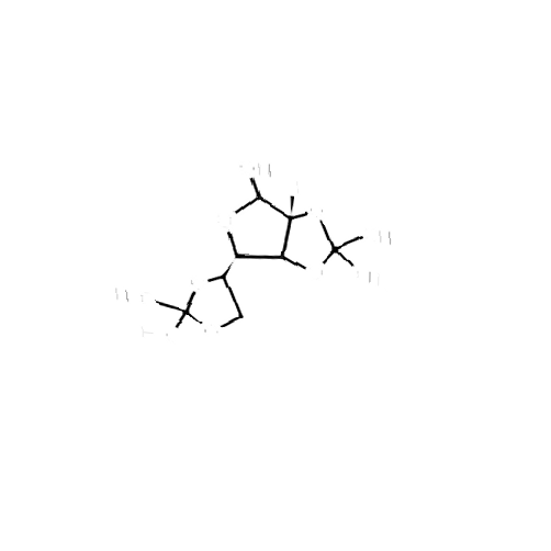 CC1(C)OCC([C@H]2OC(O)[C@@H]3OC(C)(C)OC23)O1